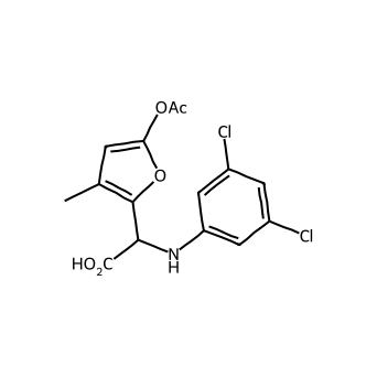 CC(=O)Oc1cc(C)c(C(Nc2cc(Cl)cc(Cl)c2)C(=O)O)o1